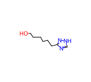 OCCCCCCc1nc[nH]n1